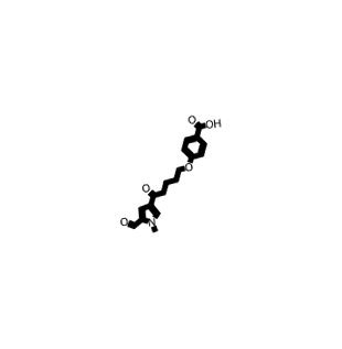 Cn1cc(C(=O)CCCCOc2ccc(C(=O)O)cc2)cc1C=O